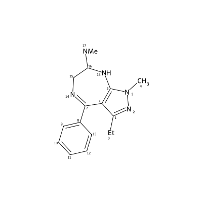 CCc1nn(C)c2c1C(c1ccccc1)=NCC(NC)N2